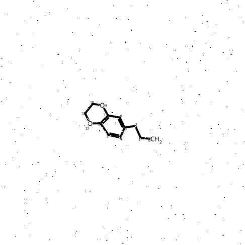 [CH2]CCc1ccc2c(c1)OCCO2